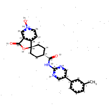 Cc1cccc(-c2cnc(NC(=O)[C@H]3CC[C@@]4(CC3)OC(=O)c3c[n+]([O-])ccc34)nc2)c1